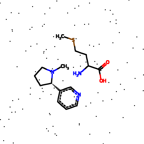 CN1CCC[C@H]1c1cccnc1.CSCCC(N)C(=O)O